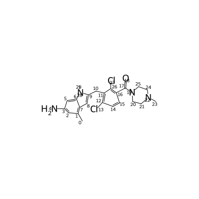 Cc1cc(N)cc2c1cc(Cc1c(Cl)ccc(C(=O)N3CCN(C)CC3)c1Cl)n2C